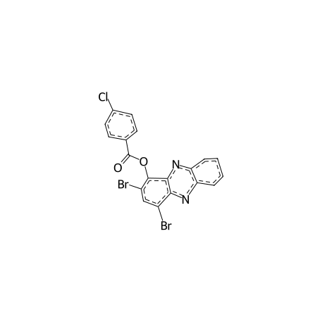 O=C(Oc1c(Br)cc(Br)c2nc3ccccc3nc12)c1ccc(Cl)cc1